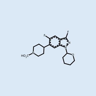 O=C(O)N1CCC(c2cc3c(cc2F)c(F)nn3C2CCCCO2)CC1